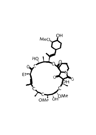 CC[C@@H]1/C=C(\C)C[C@H](C)C[C@H](OC)[C@@H](O)[C@@H](OC)C[C@H](C)[C@@]2(O)C(=O)N3CCCC[C@]3(C(=O)O[C@H](/C(C)=C/C3CCC(O)[C@H](OC)C3)[C@H](C)[C@@H](O)CC1=O)C2=O